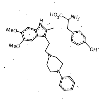 COc1cc2[nH]c(C)c(CCN3CCN(c4ccccc4)CC3)c2cc1OC.NC(Cc1ccc(O)cc1)C(=O)O